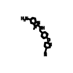 Cn1c(NCc2ccc(Oc3ccc(C#N)cn3)cc2)nc2ccc(N)cc21